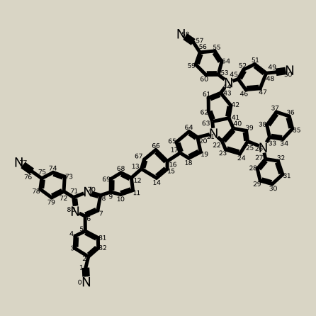 N#Cc1ccc(-c2cc(-c3ccc(-c4ccc(-c5ccc(-n6c7ccc(N(c8ccccc8)c8ccccc8)cc7c7cc(N(c8ccc(C#N)cc8)c8ccc(C#N)cc8)ccc76)cc5)cc4)cc3)nc(-c3ccc(C#N)cc3)n2)cc1